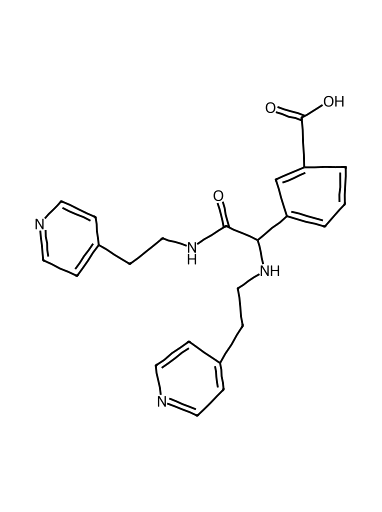 O=C(O)c1cccc(C(NCCc2ccncc2)C(=O)NCCc2ccncc2)c1